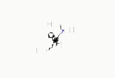 C=CCCN(C)P(=O)(NCC/C=C(/C)CCC)Oc1ccccc1